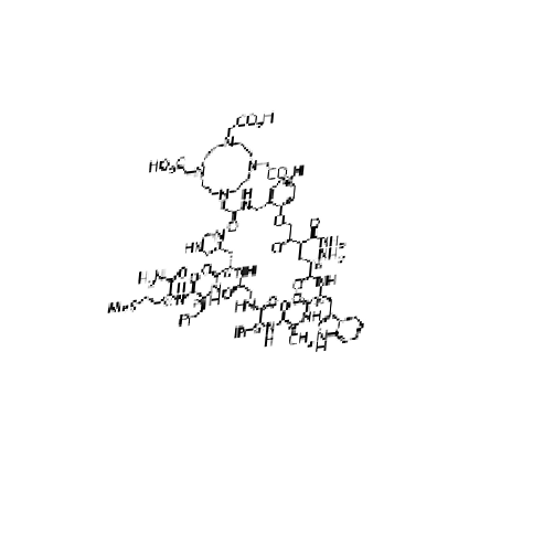 CSCC[C@H](NC(=O)[C@H](CC(C)C)NC(=O)[C@H](Cc1c[nH]cn1)NC(=O)CNC(=O)[C@@H](NC(=O)[C@H](C)NC(=O)[C@H](Cc1c[nH]c2ccccc12)NC(=O)[C@@H](N)CC(C(N)=O)C(=O)COc1ccccc1CNC(=O)CN1CCN(CC(=O)O)CCN(CC(=O)O)CCN(CC(=O)O)CC1)C(C)C)C(N)=O